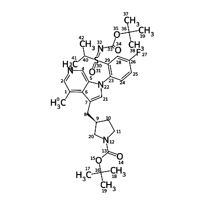 Cc1cncc2c1c(C[C@H]1CCN(C(=O)OC(C)(C)C)C1)cn2-c1ccc(F)cc1S(=O)(=NC(=O)OC(C)(C)C)C(C)C